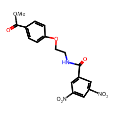 COC(=O)c1ccc(OCCNC(=O)c2cc([N+](=O)[O-])cc([N+](=O)[O-])c2)cc1